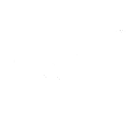 COc1ccc(COc2ccc(F)c(CSc3nc4c(n3-c3ccc(F)cc3)C(c3ccc(Cl)c(C)c3)CCC4)c2F)cc1